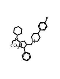 O=C(O)CN(C1CCCCC1)C1CC(CN2CCC(c3ccc(F)cc3)CC2)C(c2ccccc2)C1